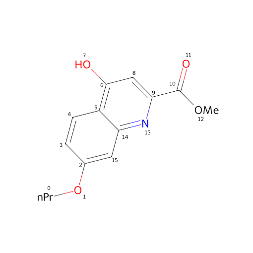 CCCOc1ccc2c(O)cc(C(=O)OC)nc2c1